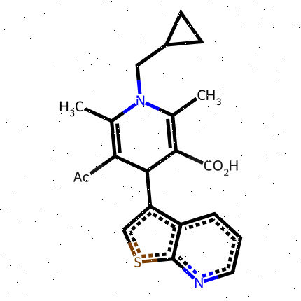 CC(=O)C1=C(C)N(CC2CC2)C(C)=C(C(=O)O)C1c1csc2ncccc12